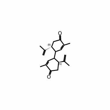 C=C(C)[C@H]1CC(=O)C(C)=CC1C1C=C(C)C(=O)C[C@H]1C(=C)C